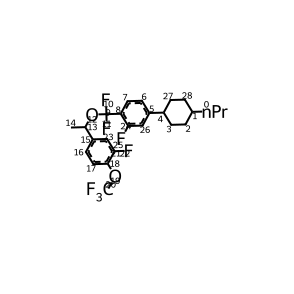 CCCC1CCC(c2ccc(C(F)(F)OC(C)c3ccc(OC(F)(F)F)c(F)c3)c(F)c2)CC1